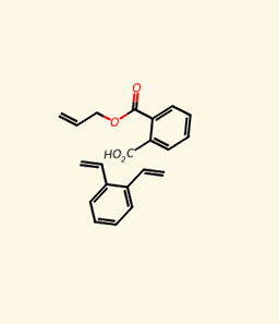 C=CCOC(=O)c1ccccc1C(=O)O.C=Cc1ccccc1C=C